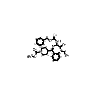 CC(C)CN1C(=O)C(NC(=O)OCc2ccccc2)N=C(C2CCN(C(=O)OC(C)(C)C)CC2)c2ccccc21